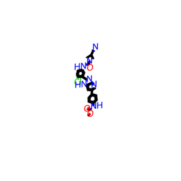 COC(=O)Nc1ccc(-c2cnc3nc(-c4cc(NC(=O)N5CC(C#N)C5)ccc4Cl)[nH]c3c2)cc1